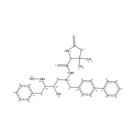 CC1(C)OC(=O)NC1C(=O)NN(Cc1ccc(-c2ccccn2)cc1)CC(O)C(Cc1ccccc1)NO